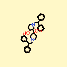 OC1CCN(CC(c2ccccc2)c2ccccc2)CC1C1(O)CCN(CC(c2ccccc2)c2ccccc2)CC1